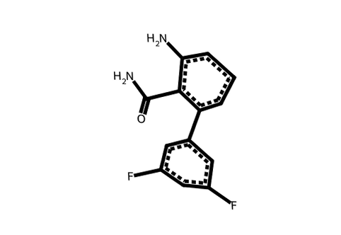 NC(=O)c1c(N)cccc1-c1cc(F)cc(F)c1